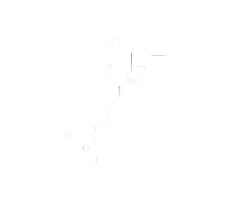 CCCC[C@@](C)(NC(=O)OCCCCC(C)(C)C)C(C)O